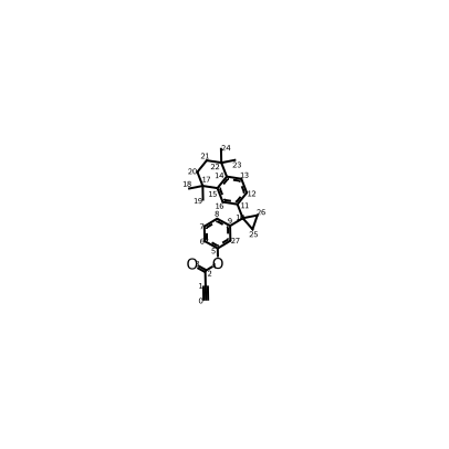 C#CC(=O)Oc1cccc(C2(c3ccc4c(c3)C(C)(C)CCC4(C)C)CC2)c1